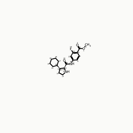 COC(=O)c1ccc(NC(=O)[C@H]2NCC[C@H]2C2CCCCC2)cc1F